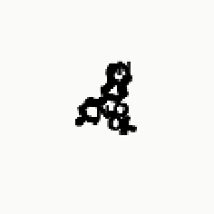 CC1CC=C(c2ccc3cnccc3c2)N(C(=O)OC(C)(C)C)C1